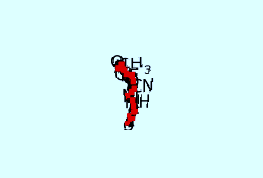 CN1C(=O)CC[C@H]1CC(=O)N1CC[C@H](Oc2ccc(-c3ncnc(Nc4ccc(N5CCN(C6COC6)CC5)c(F)c4)n3)cc2C#N)[C@H](F)C1